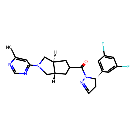 N#Cc1cc(N2C[C@H]3CC(C(=O)N4N=CC[C@H]4c4cc(F)cc(F)c4)C[C@@H]3C2)ncn1